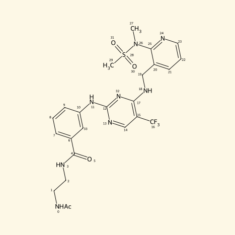 CC(=O)NCCNC(=O)c1cccc(Nc2ncc(C(F)(F)F)c(NCc3cccnc3N(C)S(C)(=O)=O)n2)c1